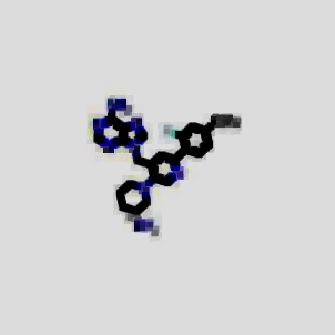 COc1ccc(-c2cc(Cn3cnc4c(N)ncnc43)c(N3CCC[C@@H](N)C3)cn2)c(F)c1